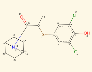 CC(Sc1cc(Cl)c(O)c(Cl)c1)C(=O)N1CC2CCC(CC2)C1